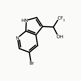 OC(c1c[nH]c2ncc(Br)cc12)C(F)(F)F